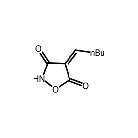 [CH2]CCCC=C1C(=O)NOC1=O